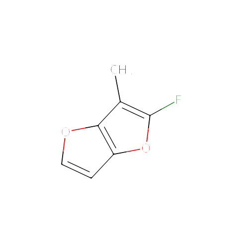 Cc1c(F)oc2ccoc12